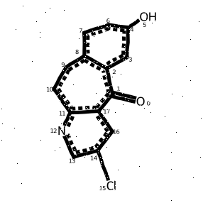 O=c1c2cc(O)ccc2ccc2ncc(Cl)cc12